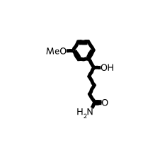 COc1cccc(C(O)CCCC(N)=O)c1